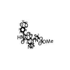 COC(=O)Oc1csc(NC(=O)[C@H](Cc2cscn2)N2C(=O)NC(c3ccc4c(c3)OCCO4)C2=O)n1